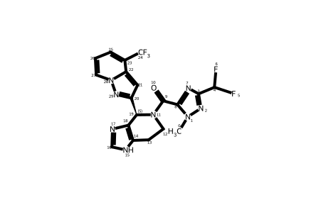 Cn1nc(C(F)F)nc1C(=O)N1CCc2[nH]cnc2[C@H]1c1cc2c(C(F)(F)F)cccn2n1